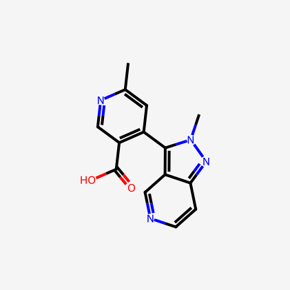 Cc1cc(-c2c3cnccc3nn2C)c(C(=O)O)cn1